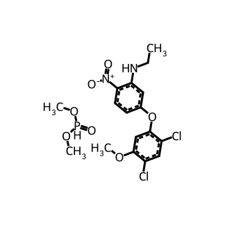 CCNc1cc(Oc2cc(OC)c(Cl)cc2Cl)ccc1[N+](=O)[O-].CO[PH](=O)OC